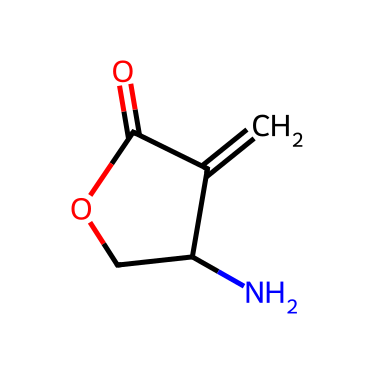 C=C1C(=O)OCC1N